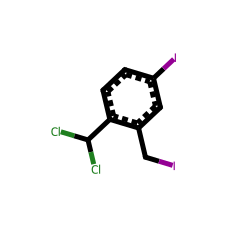 ClC(Cl)c1ccc(I)cc1CI